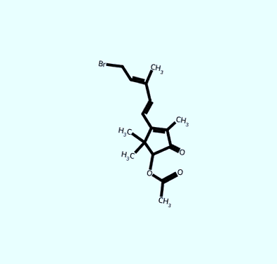 CC(=O)OC1C(=O)C(C)=C(C=CC(C)=CCBr)C1(C)C